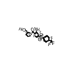 Nc1cc(S(=O)(=O)c2ccc(C(F)(F)F)cc2)cnc1C(=O)N1CCC[C@@H]1CO